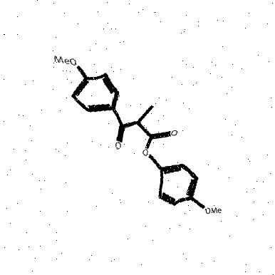 COc1ccc(OC(=O)C(C)C(=O)c2ccc(OC)cc2)cc1